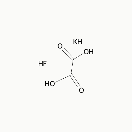 F.O=C(O)C(=O)O.[KH]